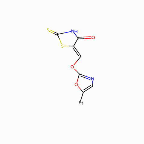 CCc1cnc(OC=C2SC(=S)NC2=O)o1